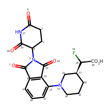 O=C1CCC(N2C(=O)c3cccc(N4CCC[C@H](C(F)C(=O)O)C4)c3C2=O)C(=O)N1